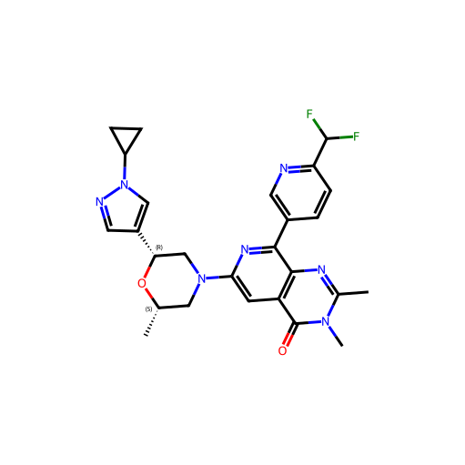 Cc1nc2c(-c3ccc(C(F)F)nc3)nc(N3C[C@@H](c4cnn(C5CC5)c4)O[C@@H](C)C3)cc2c(=O)n1C